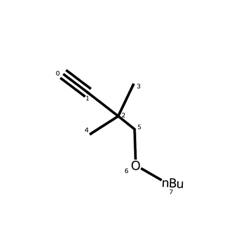 C#CC(C)(C)COCCCC